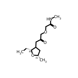 CC[C@H]1O[C@@H](C)CC1CC(=O)COCC(=O)NC